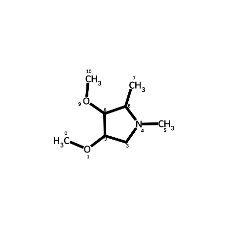 COC1CN(C)C(C)C1OC